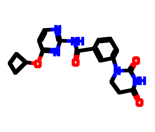 O=C1CCN(c2cccc(C(=O)Nc3nccc(OC4CCC4)n3)c2)C(=O)N1